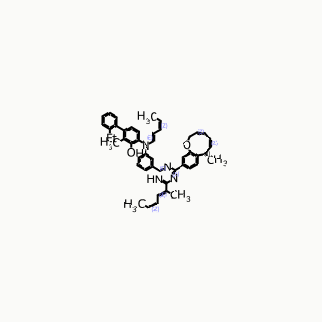 C/C=C\C=C\N(c1cccc(/C=N/C(=N\C(=N)/C(C)=C/C=C\C)c2ccc3c(c2)OC/C=C\C=C/[C@H]3C)c1)c1ccc(-c2ccccc2CC)c(C)c1O